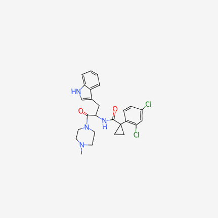 CN1CCN(C(=O)C(Cc2c[nH]c3ccccc23)NC(=O)C2(c3ccc(Cl)cc3Cl)CC2)CC1